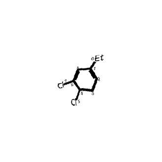 CCC1=CCC(Cl)C(Cl)=C1